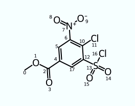 COC(=O)c1cc([N+](=O)[O-])c(Cl)c(S(=O)(=O)Cl)c1